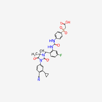 CC1(C)C(=O)N(c2ccc(C#N)c(C3CC3)c2)C(=O)N1Cc1ccc(F)cc1NC(=O)Nc1ccc(S(=O)(=O)CC(=O)O)cc1